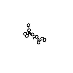 CC1(C)c2cc(N(c3ccc(-c4ccccc4)cc3)c3cccc4ccccc34)ccc2-c2ccc(-n3c4ccccc4c4c5ccccc5ccc43)cc21